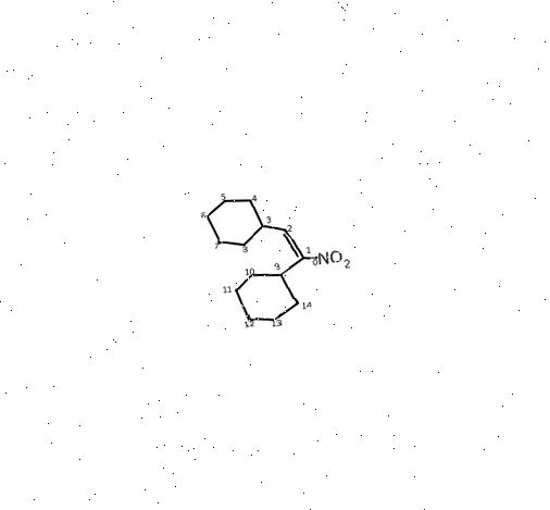 O=[N+]([O-])C(=CC1CCCCC1)C1CCCCC1